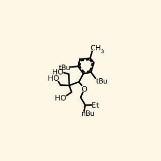 CCCCC(CC)COC(c1c(C(C)(C)C)cc(C)cc1C(C)(C)C)C(CO)(CO)CO